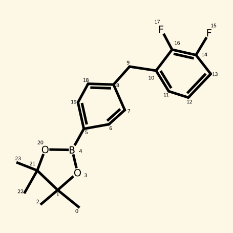 CC1(C)OB(c2ccc(Cc3cccc(F)c3F)cc2)OC1(C)C